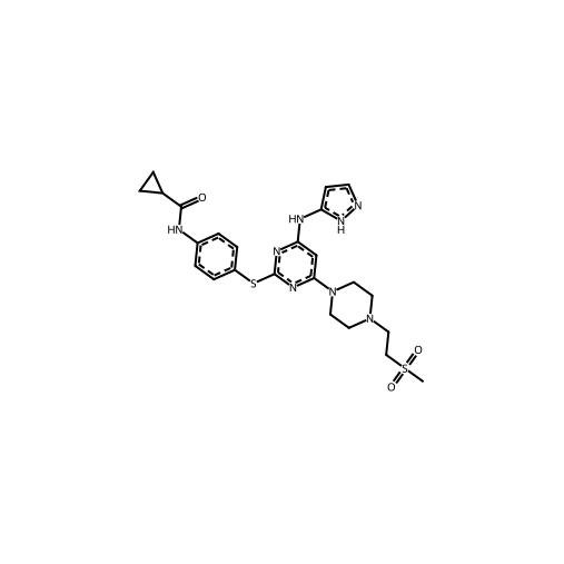 CS(=O)(=O)CCN1CCN(c2cc(Nc3ccn[nH]3)nc(Sc3ccc(NC(=O)C4CC4)cc3)n2)CC1